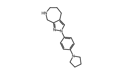 c1cc(-n2cc3c(n2)CNCCC3)ccc1N1CCCC1